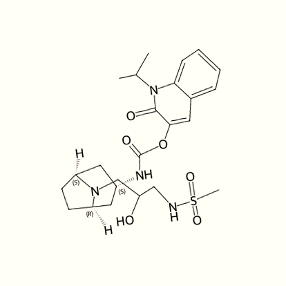 CC(C)n1c(=O)c(OC(=O)N[C@@H]2C[C@H]3CC[C@@H](C2)N3CC(O)CNS(C)(=O)=O)cc2ccccc21